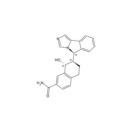 NC(=O)c1ccc2c(c1)[C@H](O)[C@@H]([C@@H]1c3ccccc3-c3cncn31)CC2